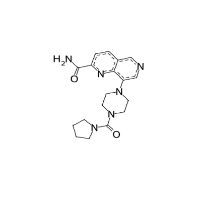 NC(=O)c1ccc2cncc(N3CCN(C(=O)N4CCCC4)CC3)c2n1